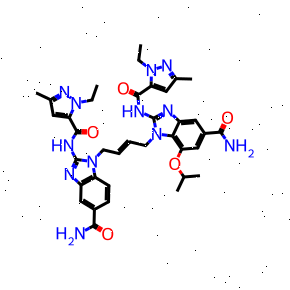 CCn1nc(C)cc1C(=O)Nc1nc2cc(C(N)=O)ccc2n1C/C=C/Cn1c(NC(=O)c2cc(C)nn2CC)nc2cc(C(N)=O)cc(OC(C)C)c21